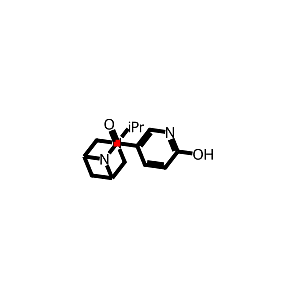 CC(C)N1CC2CC(C1)N2C(=O)c1ccc(O)nc1